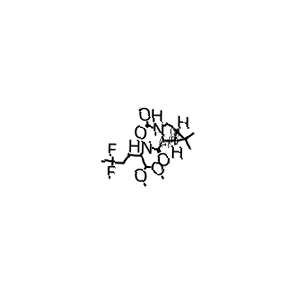 COC(OC)C(CCC(C)(F)F)NC(=O)[C@@H]1[C@@H]2[C@H](CN1C(=O)O)C2(C)C